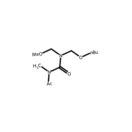 CCCCOCN(COC)C(=O)N(C)C(C)=O